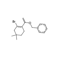 C=C(OCc1ccccc1)C1=C(Br)CC(C)(C)CC1